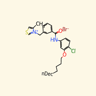 CCCCCCCCCCCCCCOc1cc(NC(=O)c2cccc(C[n+]3cscc3C)c2)ccc1Cl.[Br-]